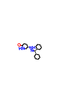 O=c1ccc(NN=C(c2ccccc2)c2ccccc2)c[nH]1